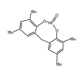 CC(C)(C)c1cc2c(c(C(C)(C)C)c1)O[PH](=O)Oc1c(cc(C(C)(C)C)cc1C(C)(C)C)C2